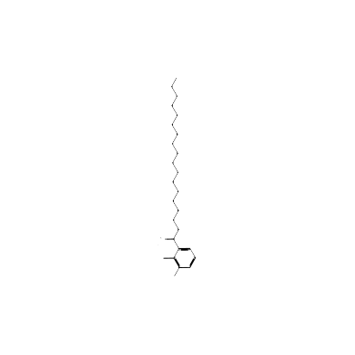 CCCCCCCCCCCCCCCCCC(N)c1cccc(C)c1C.O